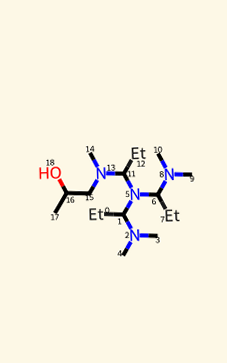 CCC(N(C)C)N(C(CC)N(C)C)C(CC)N(C)CC(C)O